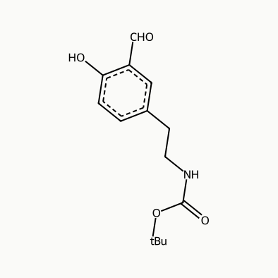 CC(C)(C)OC(=O)NCCc1ccc(O)c(C=O)c1